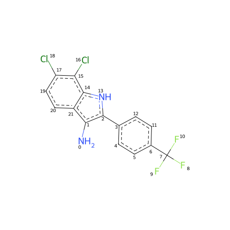 Nc1c(-c2ccc(C(F)(F)F)cc2)[nH]c2c(Cl)c(Cl)ccc12